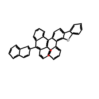 c1ccc(-c2c(-c3c4ccccc4c(-c4ccc5ccccc5c4)c4ccccc34)ccc3c2oc2ccccc23)cc1